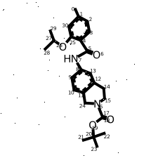 Cc1ccc(C(=O)Nc2ccc3c(c2)CCN(C(=O)OC(C)(C)C)C3)c(OC(C)C)c1